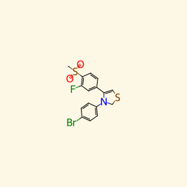 CS(=O)(=O)c1ccc(C2=CSCN2c2ccc(Br)cc2)cc1F